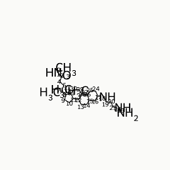 CNC(=O)CCC(C)C1CCC2C3CCC4CC(NCCCNN)CCC4(C)C3CCC12C